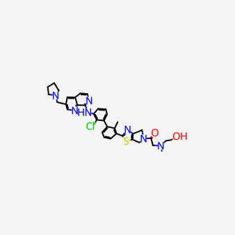 Cc1c(-c2nc3c(s2)CN(C(=O)CN(C)CCO)C3)cccc1-c1cccc(Nc2nccc3cc(CN4CCCC4)cnc23)c1Cl